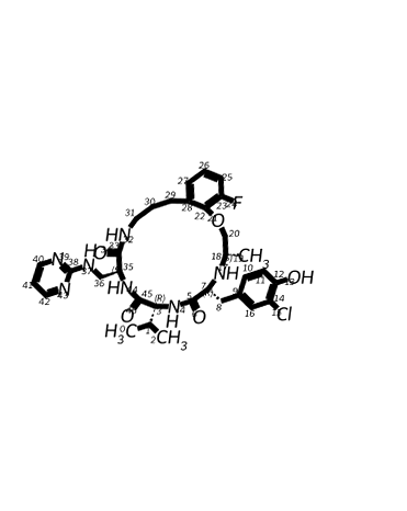 CC(C)[C@H]1NC(=O)[C@@H](Cc2ccc(O)c(Cl)c2)N[C@@H](C)COc2c(F)cccc2CCCNC(=O)[C@H](CNc2ncccn2)NC1=O